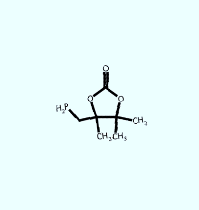 CC1(C)OC(=O)OC1(C)CP